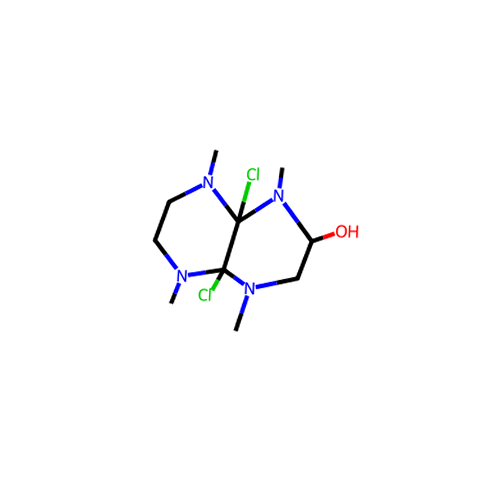 CN1CCN(C)C2(Cl)N(C)C(O)CN(C)C12Cl